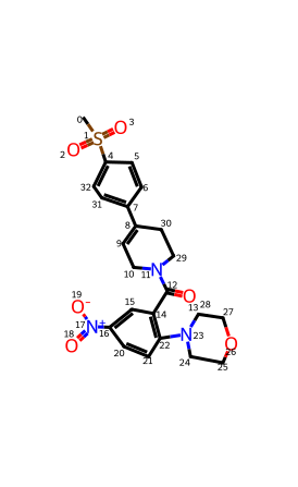 CS(=O)(=O)c1ccc(C2=CCN(C(=O)c3cc([N+](=O)[O-])ccc3N3CCOCC3)CC2)cc1